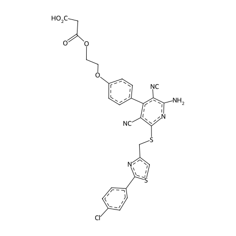 [C-]#[N+]c1c(N)nc(SCc2csc(-c3ccc(Cl)cc3)n2)c(C#N)c1-c1ccc(OCCOC(=O)CC(=O)O)cc1